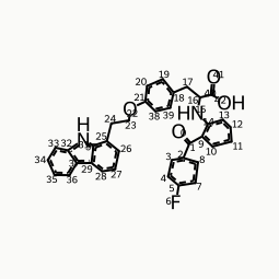 O=C(c1ccc(F)cc1)c1ccccc1NC(Cc1ccc(OCCc2cccc3c2[nH]c2ccccc23)cc1)C(=O)O